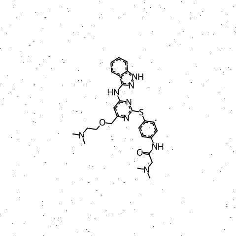 CN(C)CCOCc1cc(Nc2n[nH]c3ccccc23)nc(Sc2ccc(NC(=O)CN(C)C)cc2)n1